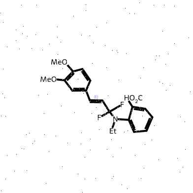 CCN(c1ccccc1C(=O)O)C(F)(F)/C=C/c1ccc(OC)c(OC)c1